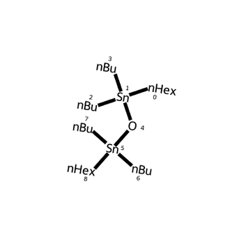 CCCCC[CH2][Sn]([CH2]CCC)([CH2]CCC)[O][Sn]([CH2]CCC)([CH2]CCC)[CH2]CCCCC